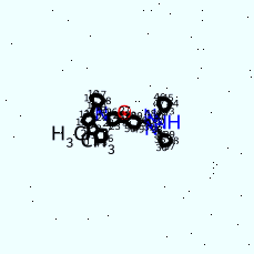 CC1(C)c2ccccc2-c2c1ccc1c3ccccc3n(-c3ccc4c(c3)oc3cc(C5=NC(c6ccccc6)NC(c6ccccc6)=N5)ccc34)c21